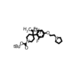 C=C(C)C1(c2c(F)cc(OCCN3CCCC3)cc2CC)CCN(C(=O)OC(C)(C)C)CC1